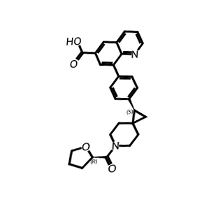 O=C(O)c1cc(-c2ccc([C@H]3CC34CCN(C(=O)[C@H]3CCCO3)CC4)cc2)c2ncccc2c1